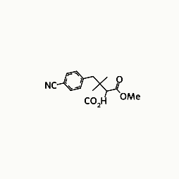 COC(=O)C(C(=O)O)C(C)(C)Cc1ccc(C#N)cc1